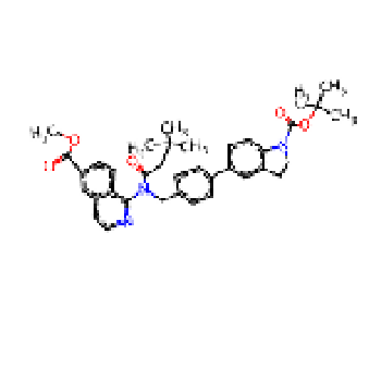 COC(=O)c1ccc2c(N(Cc3ccc(-c4ccc5c(c4)CCN5C(=O)OC(C)(C)C)cc3)C(=O)CC(C)(C)C)nccc2c1